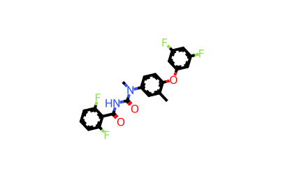 Cc1cc(N(C)C(=O)NC(=O)c2c(F)cccc2F)ccc1Oc1cc(F)cc(F)c1